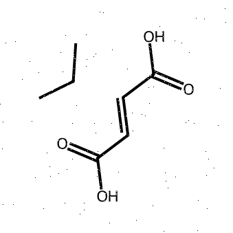 CCC.O=C(O)C=CC(=O)O